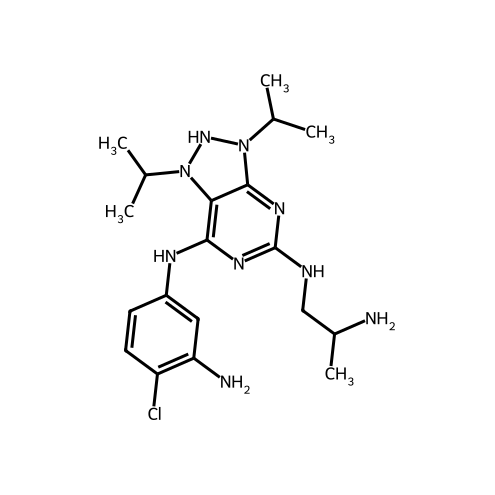 CC(N)CNc1nc(Nc2ccc(Cl)c(N)c2)c2c(n1)N(C(C)C)NN2C(C)C